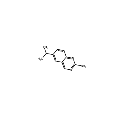 CC(C)c1ccc2nc(N)ncc2c1